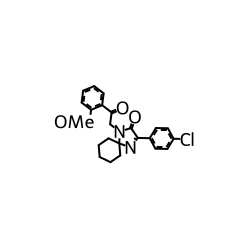 COc1ccccc1C(=O)CN1C(=O)C(c2ccc(Cl)cc2)=NC12CCCCC2